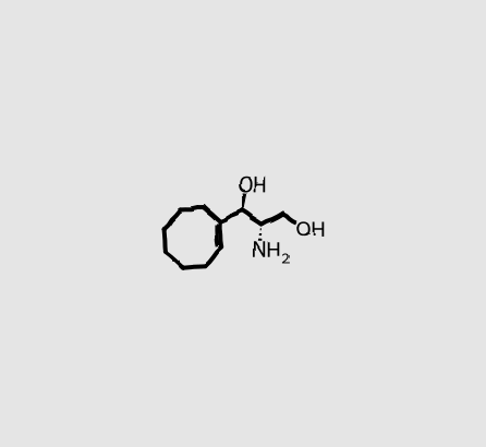 N[C@@H](CO)[C@H](O)C1=CCCCCCC1